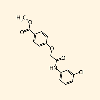 COC(=O)c1ccc(OCC(=O)Nc2cccc(Cl)c2)cc1